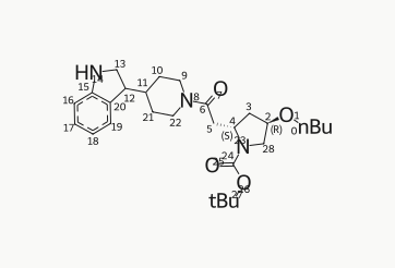 CCCCO[C@@H]1C[C@@H](CC(=O)N2CCC(C3CNc4ccccc43)CC2)N(C(=O)OC(C)(C)C)C1